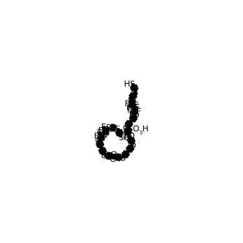 O=S(=O)(O)c1cc(S(=O)(=O)c2ccc(Oc3ccc(-c4ccc(Oc5ccc(S(=O)(=O)c6ccc(Oc7ccc(-c8ccc(Oc9c(F)c(F)c(-c%10c(F)c(F)c(Sc%11ccc(Sc%12ccc(S)cc%12)cc%11)c(F)c%10F)c(F)c9F)cc8)cc7)cc6)cc5)cc4)cc3)cc2)ccc1Oc1ccc(-c2ccc(Oc3c(F)c(F)c(-c4c(F)c(F)c(Sc5ccc(Sc6ccc(S)cc6)cc5)c(F)c4F)c(F)c3F)cc2)cc1